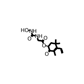 C=CC1=C(C)C(=O)[C@@H](OC(=O)CNC(=O)NO)CC1(C)C